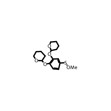 COSc1ccc(OC2CCCCO2)c(OC2CCCCO2)c1